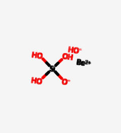 [Be+2].[O-][Si](O)(O)O.[OH-]